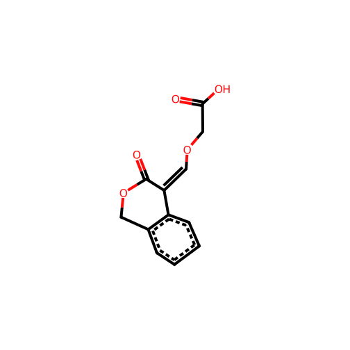 O=C(O)COC=C1C(=O)OCc2ccccc21